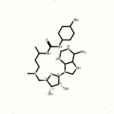 CC(CCN(C)C[C@H]1O[C@@H](N2CNC3C(N)NCNC32)[C@H](O)[C@@H]1O)NC(=O)NC1CCC(C(C)(C)C)CC1